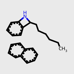 CCCCCCC1Nc2ccccc21.c1ccc2ccccc2c1